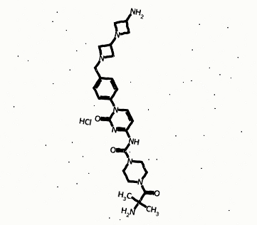 CC(C)(N)C(=O)N1CCN(C(=O)Nc2ccn(-c3ccc(CN4CC(N5CC(N)C5)C4)cc3)c(=O)n2)CC1.Cl